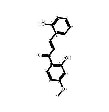 COc1ccc(C(=O)C=Cc2ccccc2O)c(O)c1